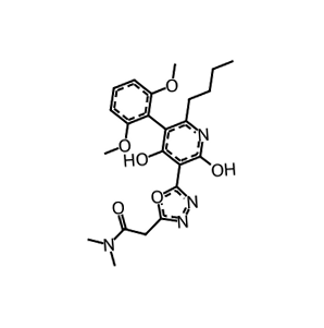 CCCCc1nc(O)c(-c2nnc(CC(=O)N(C)C)o2)c(O)c1-c1c(OC)cccc1OC